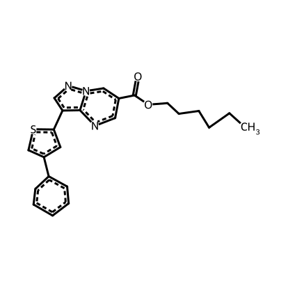 CCCCCCOC(=O)c1cnc2c(-c3cc(-c4ccccc4)cs3)cnn2c1